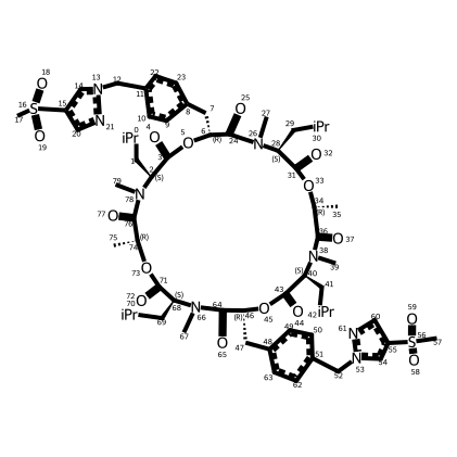 CC(C)C[C@H]1C(=O)O[C@H](Cc2ccc(Cn3cc(S(C)(=O)=O)cn3)cc2)C(=O)N(C)[C@@H](CC(C)C)C(=O)O[C@H](C)C(=O)N(C)[C@@H](CC(C)C)C(=O)O[C@H](Cc2ccc(Cn3cc(S(C)(=O)=O)cn3)cc2)C(=O)N(C)[C@@H](CC(C)C)C(=O)O[C@H](C)C(=O)N1C